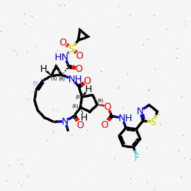 CN1CCCC/C=C\[C@@H]2C[C@@]2(C(=O)NS(=O)(=O)C2CC2)NC(=O)[C@@H]2C[C@@H](OC(=O)Nc3ccc(F)cc3C3=NCCS3)C[C@H]2C1=O